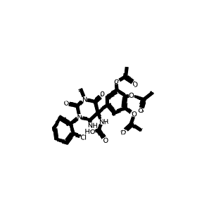 CC(=O)Oc1cc(C2(NC(=O)O)C(=O)N(C)C(=O)N(c3ccccc3Cl)C2N)cc(OC(C)=O)c1OC(C)=O